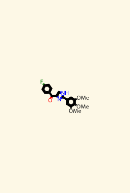 COc1cc(-c2nc(C(=O)c3ccc(F)cc3)c[nH]2)cc(OC)c1OC